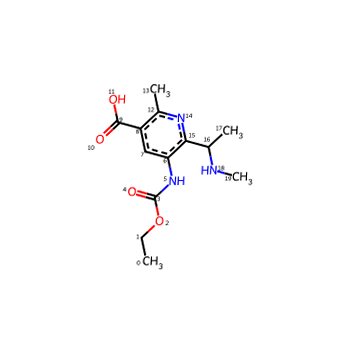 CCOC(=O)Nc1cc(C(=O)O)c(C)nc1C(C)NC